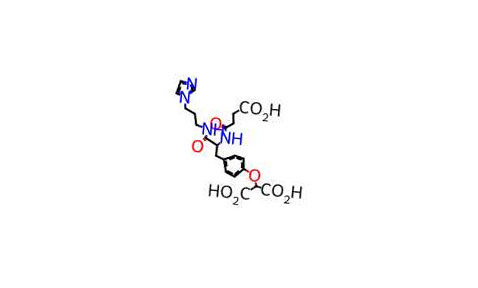 O=C(O)CCC(=O)NC(Cc1ccc(OC(C(=O)O)C(=O)O)cc1)C(=O)NCCCn1ccnc1